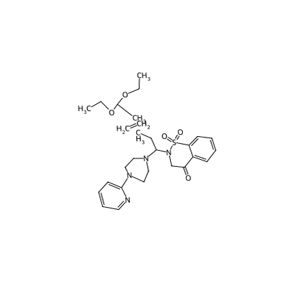 C=C.CCC(N1CCN(c2ccccn2)CC1)N1CC(=O)c2ccccc2S1(=O)=O.CCOC(C)OCC